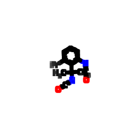 CC(C)c1cccc(N=C=O)c1C(C)(C)N=C=O